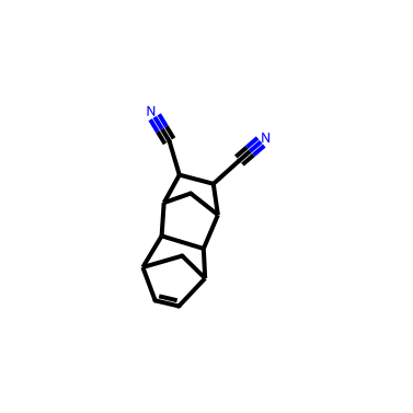 N#CC1C(C#N)C2CC1C1C3C=CC(C3)C21